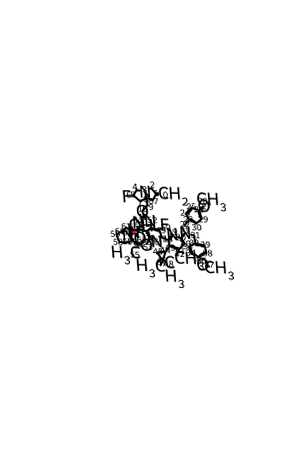 C=C1CN2C[C@H](F)CC2(COc2nc3c4c(nc(-c5nc(N(Cc6ccc(OC)cc6)Cc6ccc(OC)cc6)cc(C)c5C5CC5(C)C)c(F)c4n2)OC(C)C2C4CCC(CN32)N4C(=O)O)C1